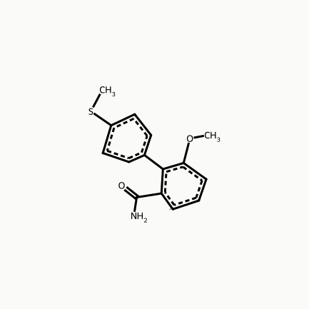 COc1cc[c]c(C(N)=O)c1-c1ccc(SC)cc1